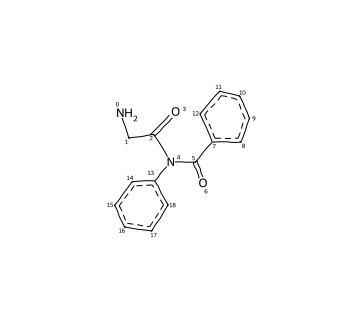 NCC(=O)N(C(=O)c1ccccc1)c1ccccc1